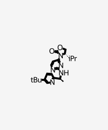 CC(C)[C@H]1COC(=O)N1c1ccnc(N[C@@H](C)c2ccc(C(C)(C)C)cn2)n1